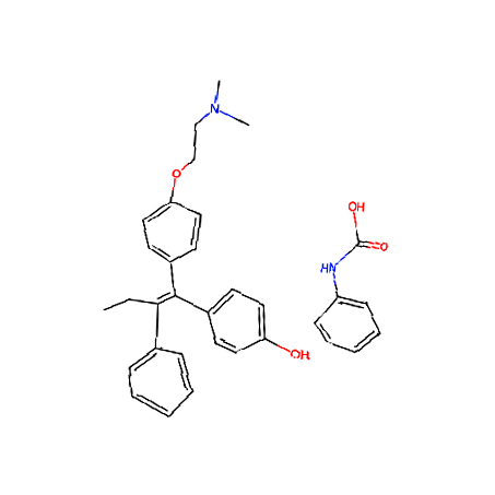 CC/C(=C(/c1ccc(O)cc1)c1ccc(OCCN(C)C)cc1)c1ccccc1.O=C(O)Nc1ccccc1